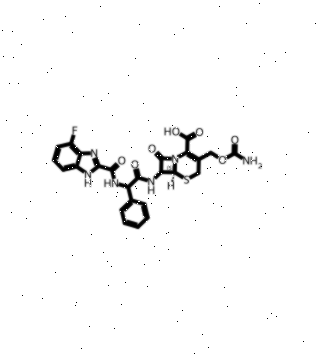 NC(=O)OCC1=C(C(=O)O)N2C(=O)C(NC(=O)C(NC(=O)c3nc4c(F)cccc4[nH]3)c3ccccc3)[C@@H]2SC1